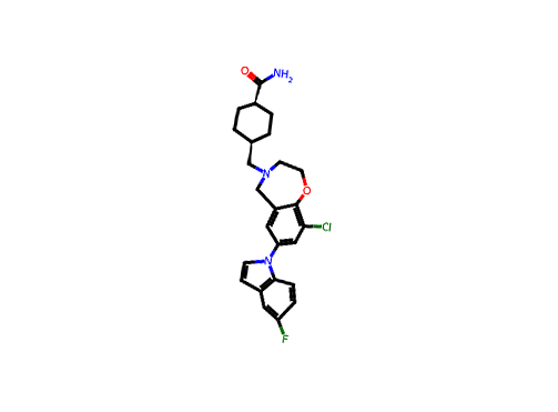 NC(=O)[C@H]1CC[C@@H](CN2CCOc3c(Cl)cc(-n4ccc5cc(F)ccc54)cc3C2)CC1